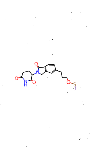 O=C1CCC(N2Cc3cc(CCCOSI)ccc3C2=O)C(=O)N1